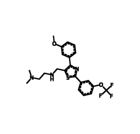 COc1cccc(-c2nc(-c3cccc(OC(F)(F)F)c3)sc2CNCCN(C)C)c1